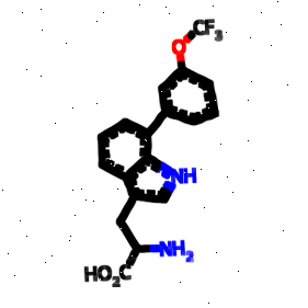 NC(Cc1c[nH]c2c(-c3cccc(OC(F)(F)F)c3)cccc12)C(=O)O